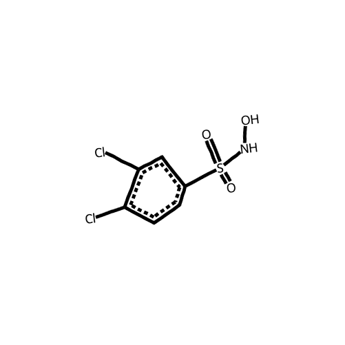 O=S(=O)(NO)c1ccc(Cl)c(Cl)c1